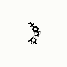 CCC(C)(C)c1ccc(C[C@@H](C)CN2CC(C)OC(C)C2)cc1.Cl